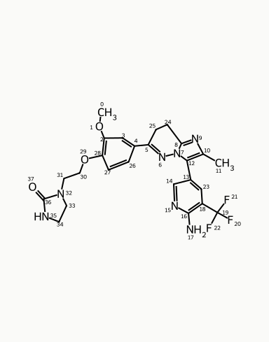 COc1cc(C2=Nn3c(nc(C)c3-c3cnc(N)c(C(F)(F)F)c3)CC2)ccc1OCCN1CCNC1=O